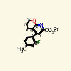 CCOC(=O)c1cc(-c2ccc(C)cc2F)c2c(n1)OCCC2